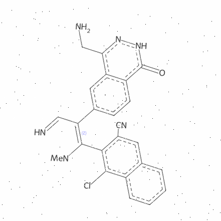 CN/C(=C(\C=N)c1ccc2c(=O)[nH]nc(CN)c2c1)c1c(C#N)cc2ccccc2c1Cl